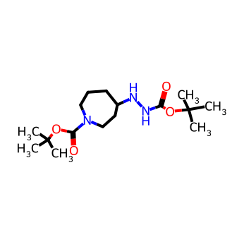 CC(C)(C)OC(=O)NNC1CCCN(C(=O)OC(C)(C)C)CC1